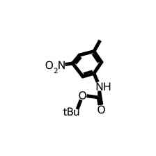 Cc1cc(NC(=O)OC(C)(C)C)cc([N+](=O)[O-])c1